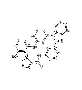 Cn1cccc1C(=O)Nc1cccc(-c2nn3ncccc3c2-c2ccnc(Nc3cccc(C#N)c3)n2)c1